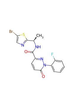 C[C@@H](NC(=O)c1ccc(=O)n(-c2ccccc2F)n1)c1ncc(Br)s1